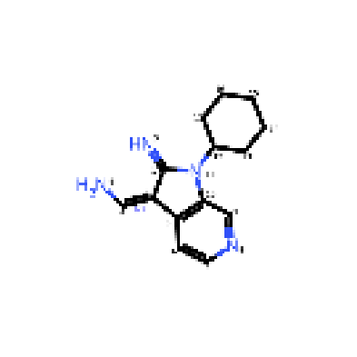 N=C1/C(=C\N)c2ccncc2N1C1CCCCC1